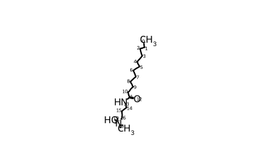 CCCCCCCCCCCC(=O)NCCCN(C)O